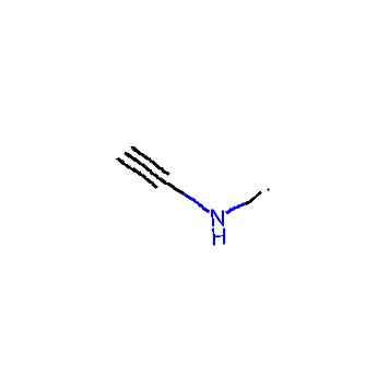 C#CN[CH2]